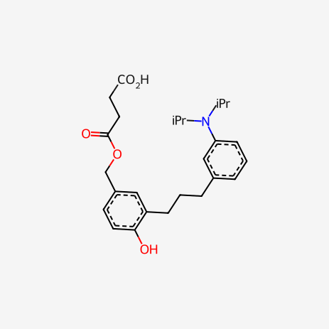 CC(C)N(c1cccc(CCCc2cc(COC(=O)CCC(=O)O)ccc2O)c1)C(C)C